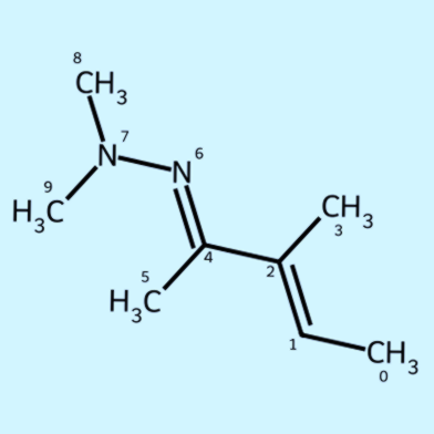 C/C=C(C)/C(C)=N/N(C)C